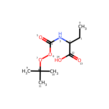 CCC(NC(=O)OOC(C)(C)C)C(=O)O